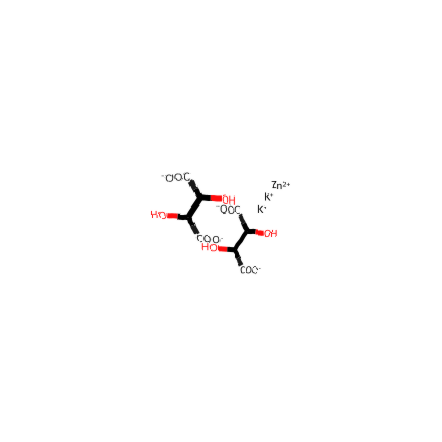 O=C([O-])C(O)C(O)C(=O)[O-].O=C([O-])C(O)C(O)C(=O)[O-].[K+].[K+].[Zn+2]